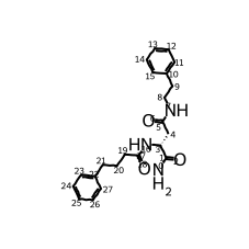 NC(=O)[C@@H](CC(=O)NCCc1ccccc1)NC(=O)CCCc1ccccc1